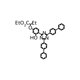 CCOC(=O)C(CC)Oc1ccc(-c2nc(-c3ccc(-c4ccccc4)cc3)nc(-c3ccc(-c4ccccc4)cc3)n2)c(O)c1